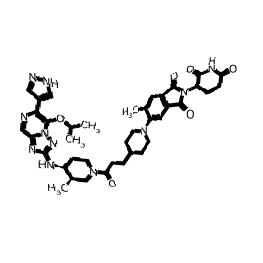 Cc1cc2c(cc1N1CCC(CCC(=O)N3CC[C@H](Nc4nc5cnc(-c6cn[nH]c6)c(OC(C)C)n5n4)[C@H](C)C3)CC1)C(=O)N(C1CCC(=O)NC1=O)C2=O